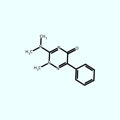 CN(C)c1nc(=O)c(-c2ccccc2)nn1C